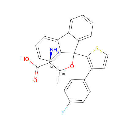 C[C@@H](OC1(c2sccc2-c2ccc(F)cc2)c2ccccc2-c2ccccc21)[C@H](N)C(=O)O